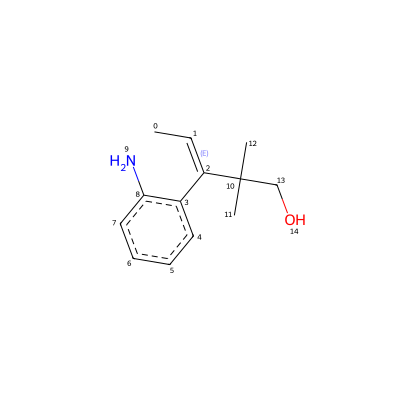 C/C=C(\c1ccccc1N)C(C)(C)CO